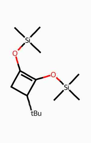 CC(C)(C)C1CC(O[Si](C)(C)C)=C1O[Si](C)(C)C